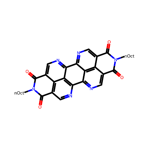 CCCCCCCCN1C(=O)c2cnc3c4ncc5c6c(cnc(c7ncc(c2c37)C1=O)c64)C(=O)N(CCCCCCCC)C5=O